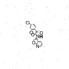 O=C(N[C@H]1COc2ncccc21)[C@@H](CO)c1ccc(Cl)cc1Cl